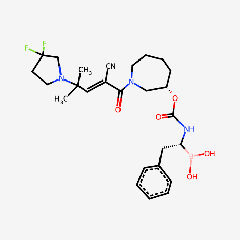 CC(C)(/C=C(\C#N)C(=O)N1CCCC[C@H](OC(=O)N[C@@H](Cc2ccccc2)B(O)O)C1)N1CCC(F)(F)C1